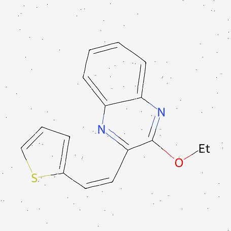 CCOc1nc2ccccc2nc1/C=C\c1cccs1